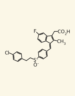 CC1=C(CC(=O)O)c2cc(F)ccc2/C1=C\c1ccc([S+]([O-])CCc2ccc(Cl)cc2)cc1